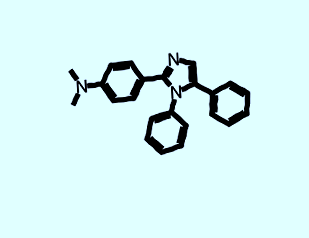 CN(C)c1ccc(-c2ncc(-c3ccccc3)n2-c2ccccc2)cc1